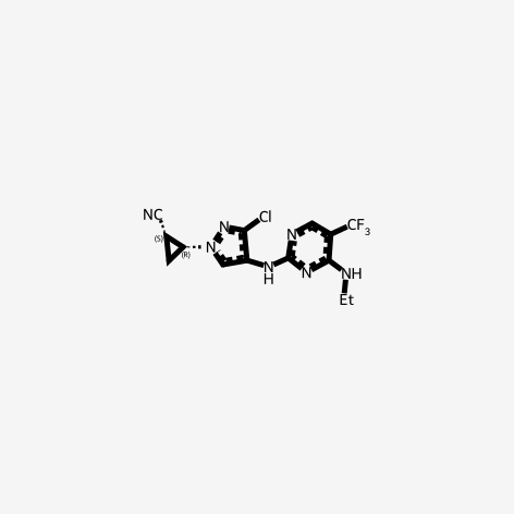 CCNc1nc(Nc2cn([C@@H]3C[C@@H]3C#N)nc2Cl)ncc1C(F)(F)F